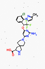 Cc1ccn(-c2c(Cl)cccc2[C@@H](Oc2cc(N3CCC4(CC3)CNC(C(=O)O)C4)nc(N)n2)C(F)(F)F)n1